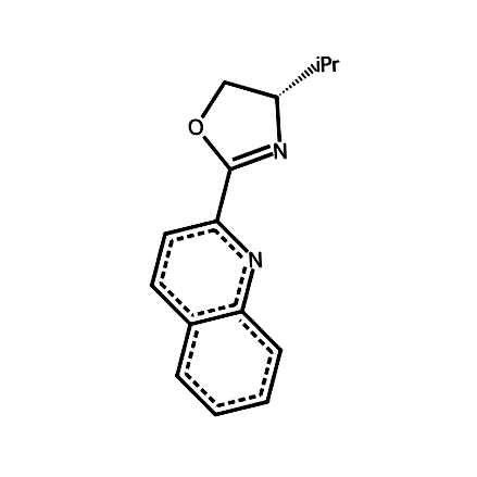 CC(C)[C@H]1COC(c2ccc3ccccc3n2)=N1